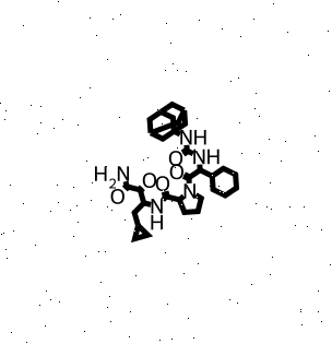 NC(=O)C(=O)C(CC1CC1)NC(=O)C1CCCN1C(=O)C(NC(=O)NC12CC3CC(CC(C3)C1)C2)C1CCCCC1